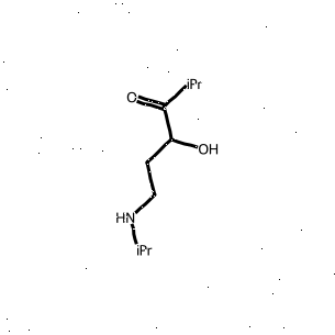 CC(C)NCCC(O)C(=O)C(C)C